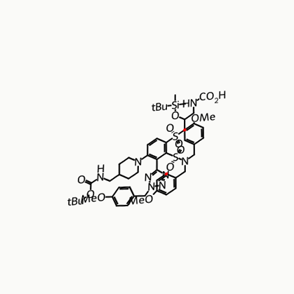 COc1ccc(CN(Cc2ccc(OC)cc2)S(=O)(=O)c2c(S(=O)(=O)CC(CNC(=O)O)O[Si](C)(C)C(C)(C)C)ccc(N3CCC(CNC(=O)OC(C)(C)C)CC3)c2-c2nnn(Cc3ccc(OC)cc3)n2)cc1